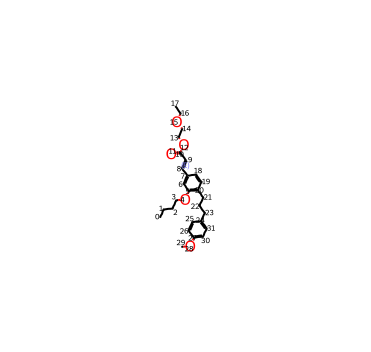 CCCCOc1cc(/C=C/C(=O)OCCOCC)ccc1CCCc1ccc(OC)cc1